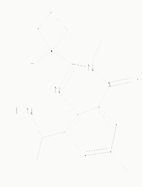 Cc1cc(C(C)N)c2nc(C3(F)CCC3)n(C)c(=O)c2c1